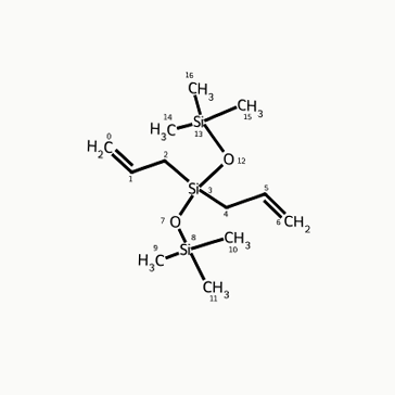 C=CC[Si](CC=C)(O[Si](C)(C)C)O[Si](C)(C)C